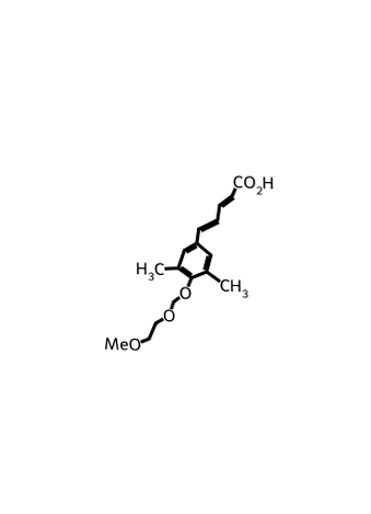 COCCOCOc1c(C)cc(C=CC=CC(=O)O)cc1C